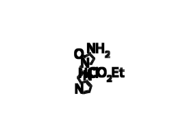 CCOC(=O)n1c(CN2CCC(N)C2=O)cc2ncccc21.Cl